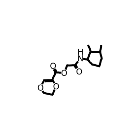 CC1CCCC(NC(=O)COC(=O)C2=COCCO2)C1C